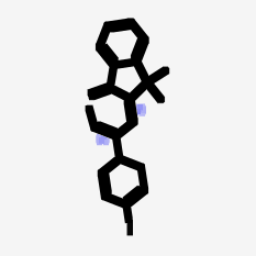 C=C1/C(=C\C(=C/C)C2C=CC(I)=CC2)C(C)(C)c2ccccc21